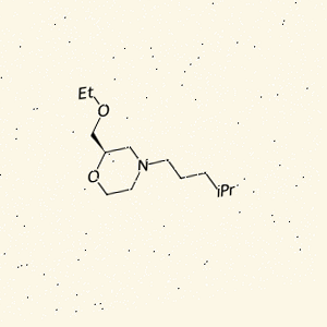 CCOC[C@H]1CN(CCCC(C)C)CCO1